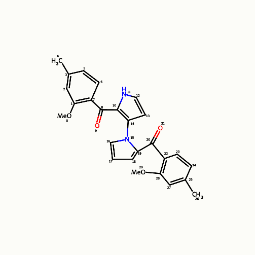 COc1cc(C)ccc1C(=O)c1[nH]ccc1-n1cccc1C(=O)c1ccc(C)cc1OC